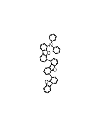 c1ccc(N(c2ccccc2)c2cccc3c2oc2c(-c4cccc5oc6c(-c7cccc8c7oc7ccccc78)cccc6c45)cccc23)cc1